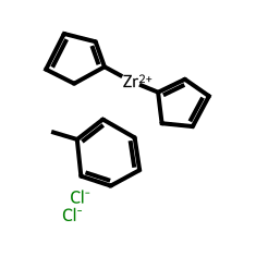 C1=CC[C]([Zr+2][C]2=CC=CC2)=C1.Cc1ccccc1.[Cl-].[Cl-]